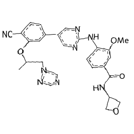 COc1cc(C(=O)NC2COC2)ccc1Nc1ncc(-c2ccc(C#N)c(OC(C)Cn3cncn3)c2)cn1